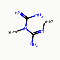 CCCCCCN=C(N)N(CCCCCC)C(=N)N